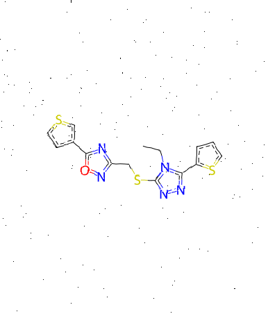 CCn1c(SCc2noc(-c3ccsc3)n2)nnc1-c1cccs1